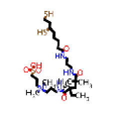 CCC(C)(CC(C)(C)C(=O)NCCCNC(=O)CCCCC(S)CCS)C(=O)NCCC[N+](C)(C)CCCS(=O)(=O)O